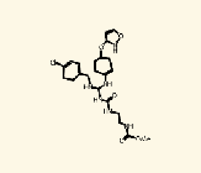 COC(=O)NCCNC(=O)NC(NCC1=CC=C(Cl)CC1)NC1=CCC(OC2C=CON2)CC1